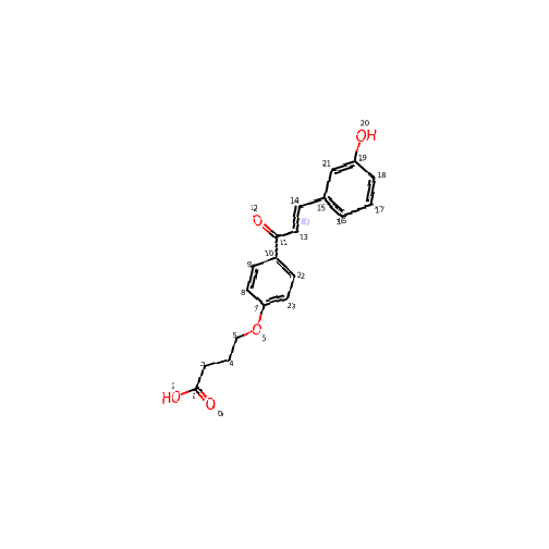 O=C(O)CCCOc1ccc(C(=O)/C=C/c2cccc(O)c2)cc1